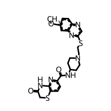 COc1ccc2ncc(SCCN3CCC(NC(=O)c4ccc5c(n4)NC(=O)CS5)CC3)nc2c1